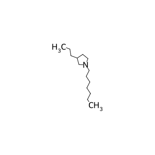 CCCCCCCN1CCC(CCC)C1